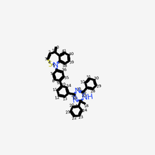 C=C1C=CSN(c2ccc(-c3cccc(C4=NC(C)(c5ccccc5)NC(c5ccccc5)=N4)c3)cc2)c2ccccc21